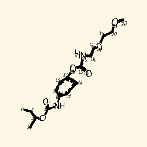 CCC(C)OC(=O)Nc1ccc(OC(=O)NCCOCCOC)cc1